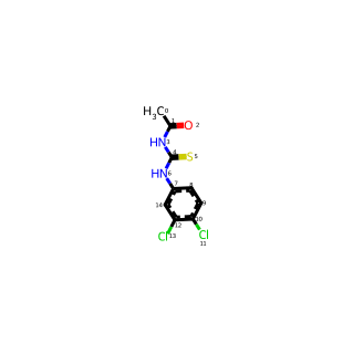 CC(=O)NC(=S)Nc1ccc(Cl)c(Cl)c1